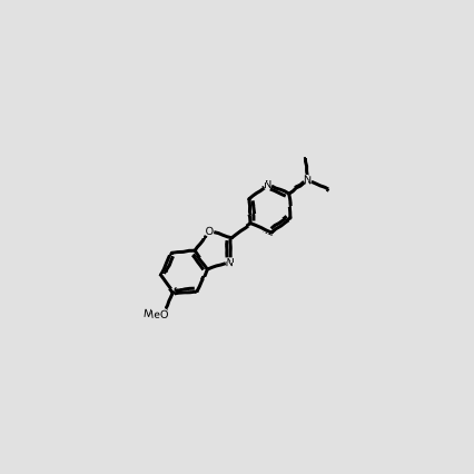 COc1ccc2oc(-c3ccc(N(C)C)nc3)nc2c1